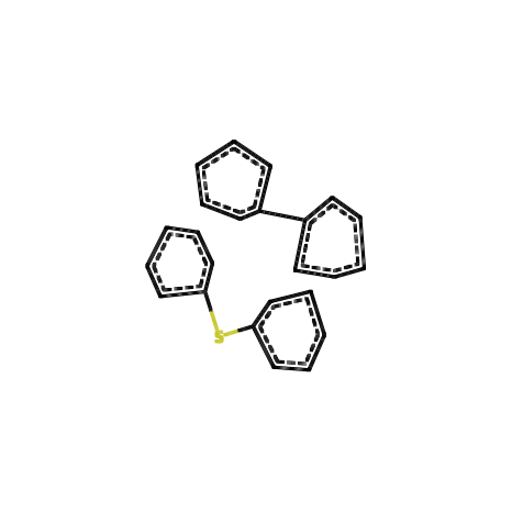 c1ccc(-c2ccccc2)cc1.c1ccc(Sc2ccccc2)cc1